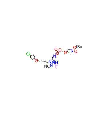 CC(C)(C)OC(=O)N1CCC(OCCOC(=O)OC[n+]2ccc(NC(=NC#N)NCCCCCCOc3ccc(Cl)cc3)cc2)CC1.[I-]